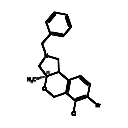 C[C@]12CN(Cc3ccccc3)CC1c1ccc(Br)c(Cl)c1CO2